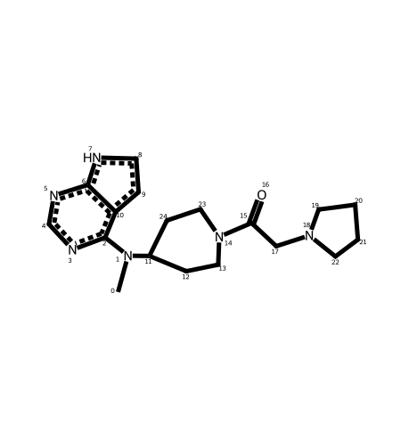 CN(c1ncnc2[nH]ccc12)C1CCN(C(=O)CN2CCCC2)CC1